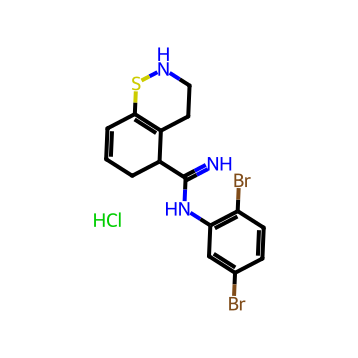 Cl.N=C(Nc1cc(Br)ccc1Br)C1CC=CC2=C1CCNS2